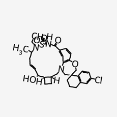 CCN1C(C)C/C=C/[C@H](O)[C@@H]2CC[C@H]2CN2C[C@@]3(CCCc4cc(Cl)ccc43)COc3ccc(cc32)C(=O)NS1(=O)=O